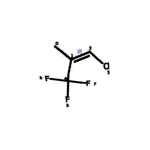 C/C(=C/Cl)C(F)(F)F